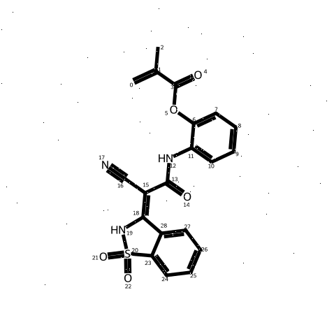 C=C(C)C(=O)Oc1ccccc1NC(=O)C(C#N)=C1NS(=O)(=O)c2ccccc21